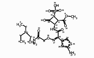 CCN(CC)CC.COC(=O)[C@H]1[C@@H](NC(=O)/C(=N\OCC(N)=O)c2csc(N)n2)C(=O)N1S(=O)(=O)O